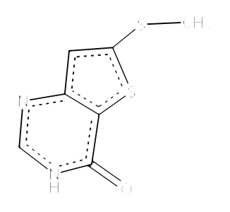 CSc1cc2nc[nH]c(=O)c2s1